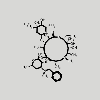 CC[C@H]1OC(=O)[C@H](C)[C@@H](O[C@H]2C[C@@](C)(OC)[C@@H](O)[C@H](C)O2)[C@H](C)[C@@H](O[C@@H]2O[C@H](C)C[C@H](N(C)Cc3ccccc3)[C@H]2O)[C@@](C)(O)C[C@@H](C)CN(C)[C@H](C)[C@@H](O)[C@]1(C)O